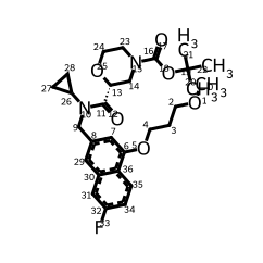 COCCCOc1cc(CN(C(=O)[C@H]2CN(C(=O)OC(C)(C)C)CCO2)C2CC2)cc2cc(F)ccc12